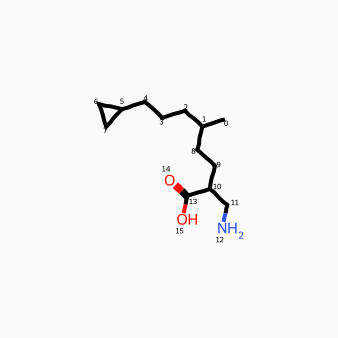 CC(CCCC1CC1)CCC(CN)C(=O)O